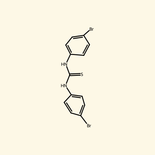 S=C(Nc1ccc(Br)cc1)Nc1ccc(Br)cc1